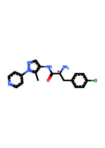 Cc1c(NC(=O)[C@@H](N)Cc2ccc(Cl)cc2)cnn1-c1ccncc1